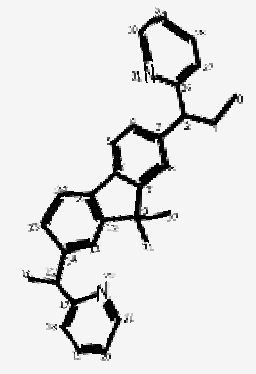 CCC(c1ccc2c(c1)C(C)(C)c1cc(C(C)c3ccccn3)ccc1-2)c1ccccn1